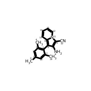 Cc1cc(C)c(-c2c(N)c(C#N)n3ccccc23)c(C)c1